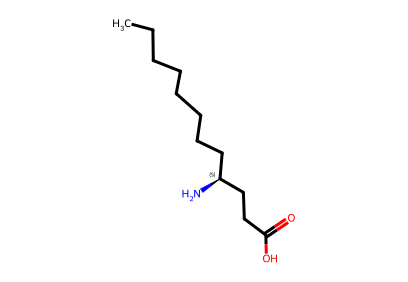 CCCCCCCC[C@H](N)CCC(=O)O